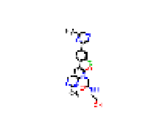 Cc1cncc(-c2ccc(-c3cc4cnc(C)nc4n(CC(=O)NCCO)c3=O)c(Cl)c2)n1